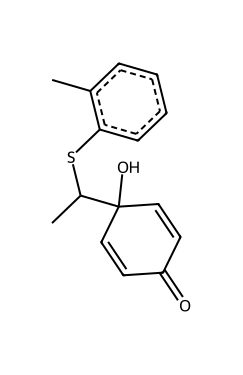 Cc1ccccc1SC(C)C1(O)C=CC(=O)C=C1